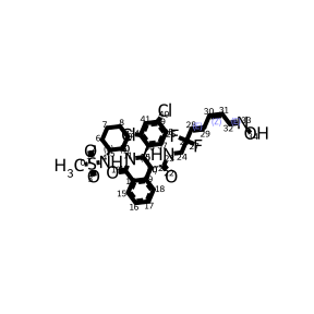 CS(=O)(=O)N[C@H]1CCCC[C@@H]1N1C(=O)c2ccccc2[C@@H](C(=O)NCC(F)(F)/C=C/C=C\C=N\O)[C@@H]1c1ccc(Cl)cc1Cl